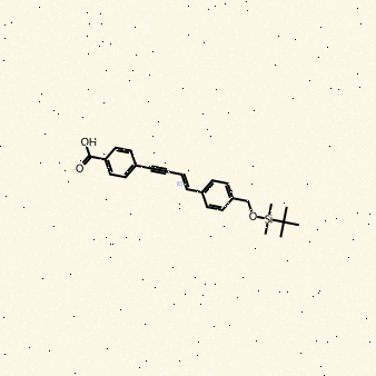 CC(C)(C)[Si](C)(C)OCc1ccc(/C=C/C#Cc2ccc(C(=O)O)cc2)cc1